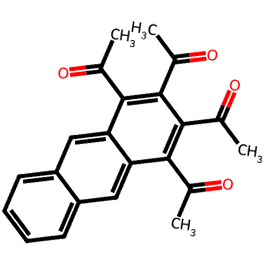 CC(=O)c1c(C(C)=O)c(C(C)=O)c2cc3ccccc3cc2c1C(C)=O